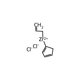 C=C[CH2][Zr+2][C]1=CC=CC1.[Cl-].[Cl-]